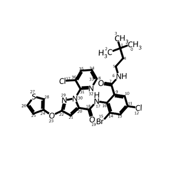 CC(C)(C)CCNC(=O)c1cc(Cl)cc(Br)c1NC(=O)c1cc(Oc2ccsc2)nn1-c1ncccc1Cl